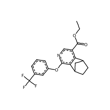 CCOC(=O)c1cnc(Oc2cccc(C(F)(F)F)c2)c2c1C1CCC2C1